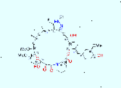 C=CC[C@@H]1/C=C(\C)C[C@H](C)C[C@H](OC)[C@H]2O[C@@](O)(C(=O)C(=O)N3CCCC[C@H]3C(=O)O[C@H](/C(C)=C/[C@@H]3CC[C@@H](O)[C@H](OC)C3)[C@H](C)[C@@H](O)C/C1=N/NCC)[C@H](C)C[C@@H]2OC